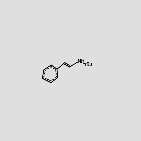 CC(C)(C)NC=Cc1ccccc1